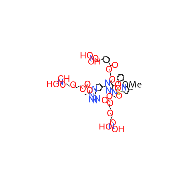 COc1ccccc1Oc1c(OCCOC(=O)c2cccc(CON(O)O)c2)nc(-c2ccnc(-c3nnnn3C(C)OC(=O)OCCOCCON(O)O)c2)nc1N(C(C)OC(=O)OCCOCCON(O)O)S(=O)(=O)c1ccc(C)cn1